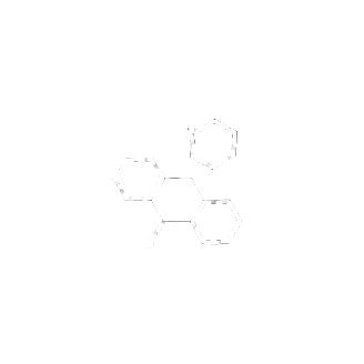 O=C1c2ccccc2Cc2ccccc21.c1ccncc1